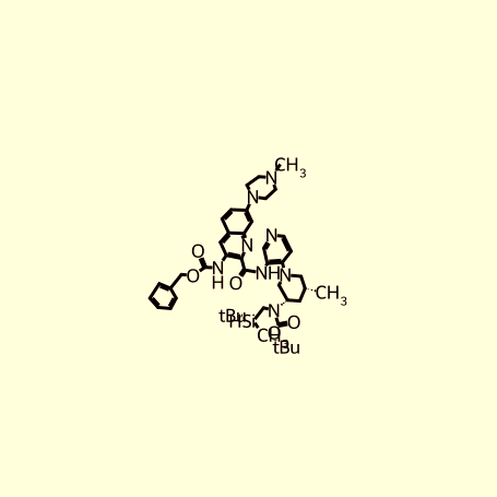 C[C@@H]1C[C@H](N(C[SiH](C)C(C)(C)C)C(=O)OC(C)(C)C)CN(c2ccncc2NC(=O)c2nc3cc(N4CCN(C)CC4)ccc3cc2NC(=O)OCc2ccccc2)C1